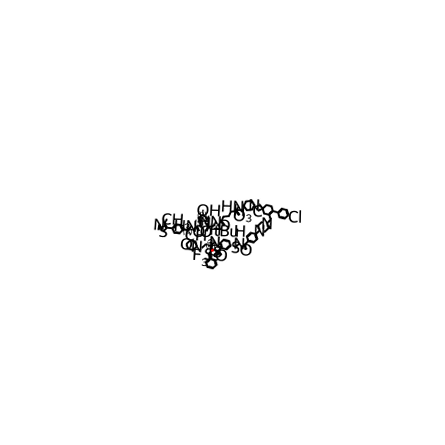 Cc1ncsc1-c1ccc([C@H](C)NC(=O)[C@@H]2C[C@@H](O)CN2C(=O)C(NC(=O)CCCC(=O)NC2CCN(CC3(C)CCC(c4ccc(Cl)cc4)=C(CN4CCN(c5ccc(C(=O)NSc6ccc(N[C@H](CCN7CCOCC7)CSc7ccccc7)c(S(=O)(=O)C(F)(F)F)c6)cc5)CC4)C3)CC2)C(C)(C)C)cc1